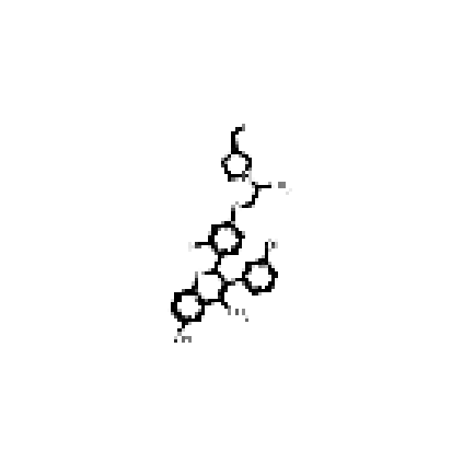 CC1=C(c2cccc(O)c2)C(c2ccc(OCC(C)N3CCC(CF)C3)cc2F)Oc2ccc(O)cc21